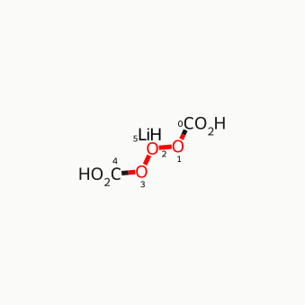 O=C(O)OOOC(=O)O.[LiH]